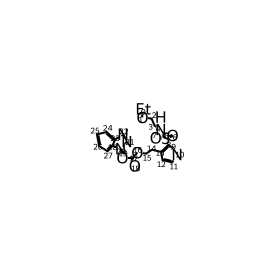 CCOCCNS(=O)(=O)c1cnccc1CCOC(=O)On1nnc2ccccc21